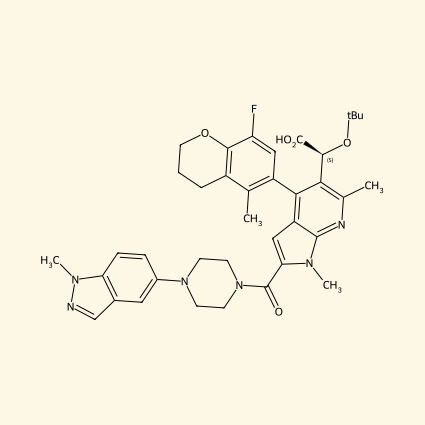 Cc1nc2c(cc(C(=O)N3CCN(c4ccc5c(cnn5C)c4)CC3)n2C)c(-c2cc(F)c3c(c2C)CCCO3)c1[C@H](OC(C)(C)C)C(=O)O